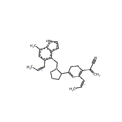 C=C(C#N)C1=C(/C=C\C)C=C(C2CCCN2Cc2c(/C=C\C)cc(C)c3[nH]ccc23)CC1